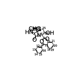 O=CNC1C(=O)N2C(C(=O)OC(c3ccccc3)c3ccccc3)C(O)CS[C@@H]12